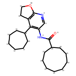 O=C(Nc1cnc2c(c1C1CCCCCC1)CCO2)C1CCCCCCCC1